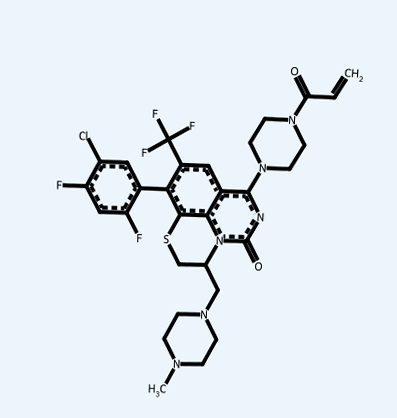 C=CC(=O)N1CCN(c2nc(=O)n3c4c(c(-c5cc(Cl)c(F)cc5F)c(C(F)(F)F)cc24)SCC3CN2CCN(C)CC2)CC1